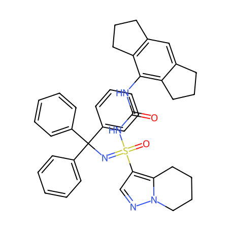 O=C(Nc1c2c(cc3c1CCC3)CCC2)NS(=O)(=NC(c1ccccc1)(c1ccccc1)c1ccccc1)c1cnn2c1CCCC2